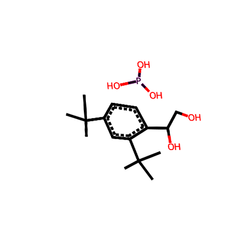 CC(C)(C)c1ccc(C(O)CO)c(C(C)(C)C)c1.OP(O)O